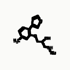 Cc1ccc(-c2ccoc2)c(OCC(O)CNC(C)(C)C)c1